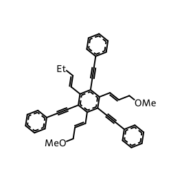 CC/C=C/c1c(C#Cc2ccccc2)c(/C=C/COC)c(C#Cc2ccccc2)c(/C=C/COC)c1C#Cc1ccccc1